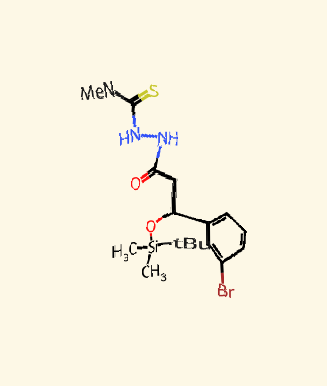 CNC(=S)NNC(=O)CC(O[Si](C)(C)C(C)(C)C)c1cccc(Br)c1